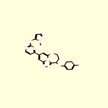 Cn1nccc1Nc1nccc(-c2cc3n4c(nnc4c2)C(OC2=CC=C(F)CC2)CCO3)n1